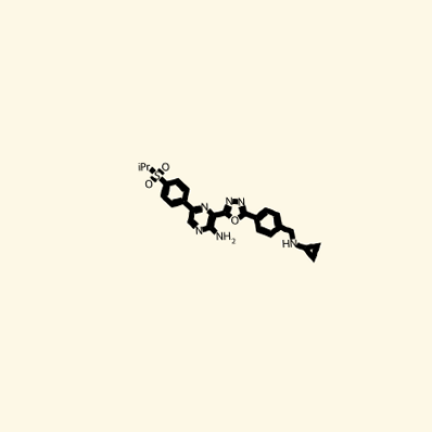 CC(C)S(=O)(=O)c1ccc(-c2cnc(N)c(-c3nnc(-c4ccc(CNC5CC5)cc4)o3)n2)cc1